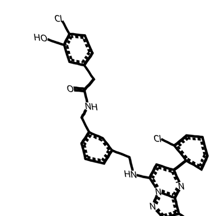 O=C(Cc1ccc(Cl)c(O)c1)NCc1cccc(CNc2cc(-c3ccccc3Cl)nc3c(Br)cnn23)c1